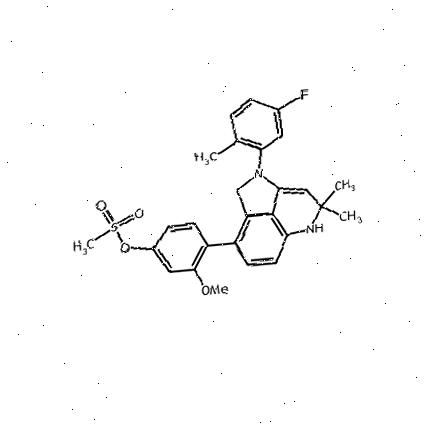 COc1cc(OS(C)(=O)=O)ccc1-c1ccc2c3c1CN(c1cc(F)ccc1C)C3=CC(C)(C)N2